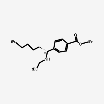 CC(C)CCCC[C@@H](NCC(C)(C)C)c1ccc(C(=O)OC(C)C)cc1